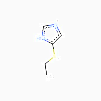 CCCCCSc1cnc[nH]1